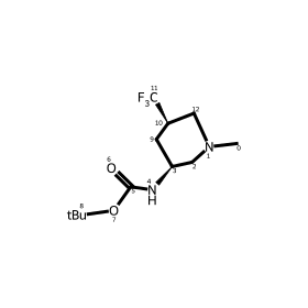 CN1C[C@@H](NC(=O)OC(C)(C)C)C[C@@H](C(F)(F)F)C1